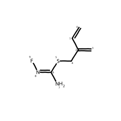 C=CC(=C)CS/C(N)=N\F